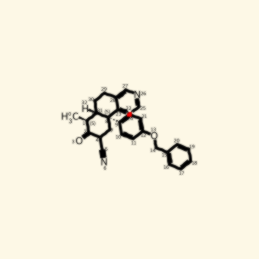 C[C@@H]1C(=O)C(C#N)C[C@]2(c3ccc(OCc4ccccc4)cc3)c3ncncc3CC[C@@H]12